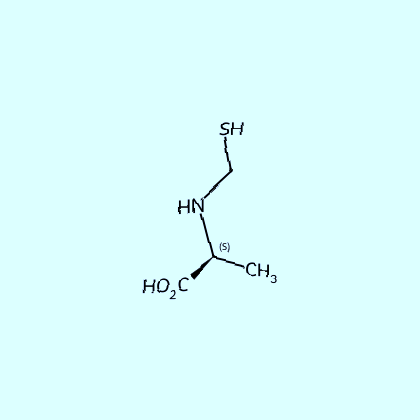 C[C@H](NCS)C(=O)O